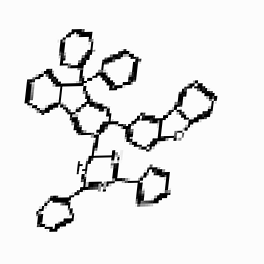 c1ccc(-c2nc(-c3ccccc3)nc(-c3cc4c(cc3-c3ccc5oc6ccccc6c5c3)C(c3ccccc3)(c3ccccc3)c3ccccc3-4)n2)cc1